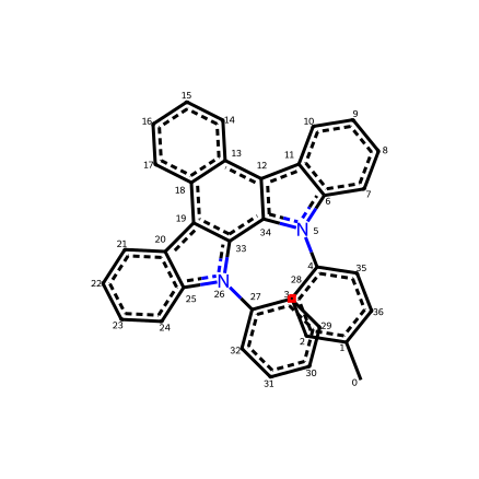 Cc1ccc(-n2c3ccccc3c3c4ccccc4c4c5ccccc5n(-c5ccccc5)c4c32)cc1